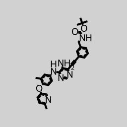 Cc1ccc(Oc2ccc(Nc3ncnc(C#Cc4cccc(CNC(=O)OC(C)(C)C)c4)c3N)cc2C)cn1